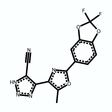 Cc1oc(-c2ccc3c(c2)OC(F)(F)O3)nc1-c1nn[nH]c1C#N